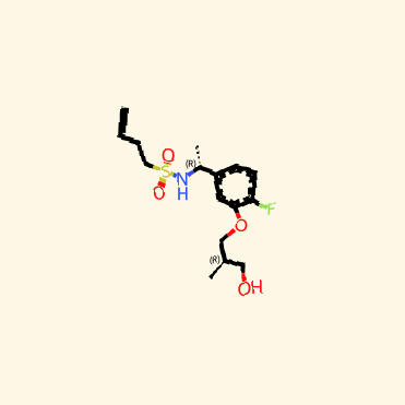 C=CCCS(=O)(=O)N[C@H](C)c1ccc(F)c(OC[C@H](C)CO)c1